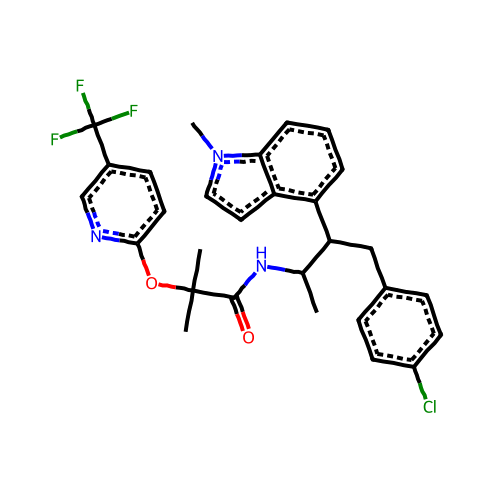 CC(NC(=O)C(C)(C)Oc1ccc(C(F)(F)F)cn1)C(Cc1ccc(Cl)cc1)c1cccc2c1ccn2C